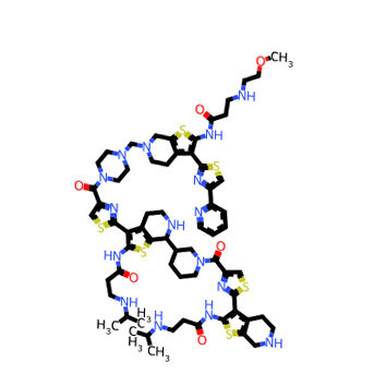 COCCNCCC(=O)Nc1sc2c(c1-c1nc(-c3ccccn3)cs1)CCN(CN1CCN(C(=O)c3csc(-c4c(NC(=O)CCNC(C)C)sc5c4CCNC5C4CCCN(C(=O)c5csc(-c6c(NC(=O)CCNC(C)C)sc7c6CCNC7)n5)C4)n3)CC1)C2